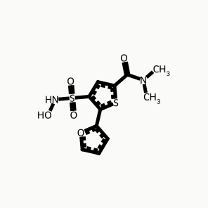 CN(C)C(=O)c1cc(S(=O)(=O)NO)c(-c2ccco2)s1